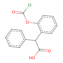 O=C(Cl)Oc1ccccc1C(C(=O)O)c1ccccc1